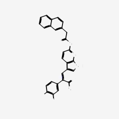 NC(=O)/C(=C\c1c[nH]c2nc(NC(=O)Cc3ccc4ccccc4c3)ccc12)c1ccc(O)c(Cl)c1